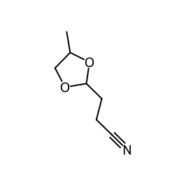 CC1COC(CCC#N)O1